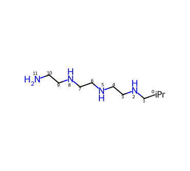 CC(C)CNCCNCCNCCN